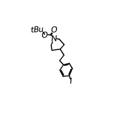 CC(C)(C)OC(=O)N1CCC(CCc2ccc(I)cc2)CC1